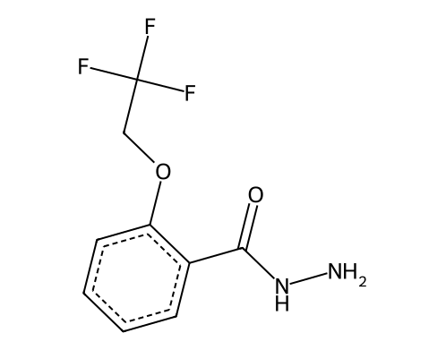 NNC(=O)c1ccccc1OCC(F)(F)F